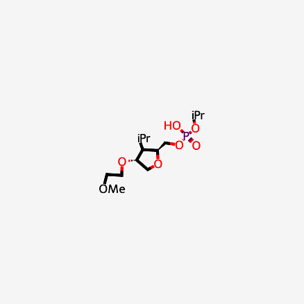 COCCO[C@H]1CO[C@H](COP(=O)(O)OC(C)C)C1C(C)C